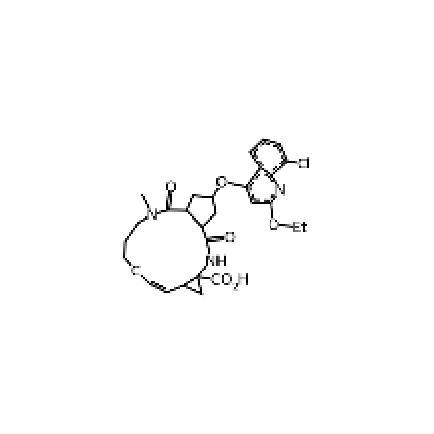 CCOc1cc(OC2CC3C(=O)NC4(C(=O)O)CC4C=CCCCCN(C)C(=O)C3C2)c2cccc(Cl)c2n1